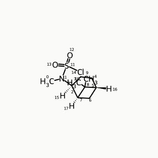 CN([C@H]1CC[C@@H]2C[C@@H]1C2(C)C)S(=O)(=O)Cl